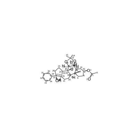 CC(=O)O[C@H]1CC[C@@]2(C)[C@H](C1)[C@H]1OC(C)(C)O[C@@H]1[C@@H]1[C@@H]2CC[C@@]2(C)[C@H]1CC[C@@]2(O)c1ccccc1